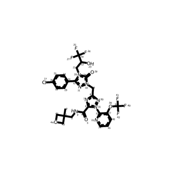 CC1(CNC(=O)c2nc(Cn3nc(-c4ccc(Cl)cc4)n(CC(O)C(F)(F)F)c3=O)nn2-c2ncccc2OC(F)(F)F)COC1